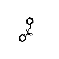 O=C(OCc1ccccc1)N1[CH]C=CCC1